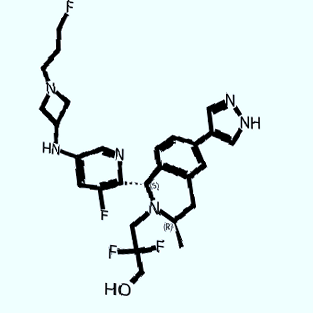 C[C@@H]1Cc2cc(-c3cn[nH]c3)ccc2[C@@H](c2ncc(NC3CN(CCCF)C3)cc2F)N1CC(F)(F)CO